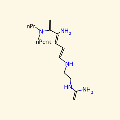 C=C(N)NCCN/C=C/C=C(\N)C(=C)N(CCC)CCCCC